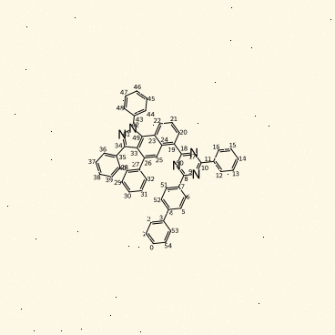 c1ccc(-c2ccc(-c3nc(-c4ccccc4)nc(-c4cccc5c4cc(-c4ccccc4)c4c(-c6ccccc6)nn(-c6ccccc6)c45)n3)cc2)cc1